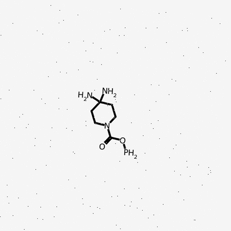 NC1(N)CCN(C(=O)OP)CC1